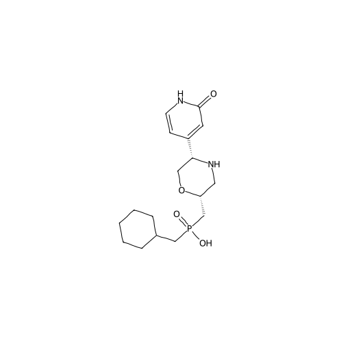 O=c1cc([C@H]2CO[C@@H](CP(=O)(O)CC3CCCCC3)CN2)cc[nH]1